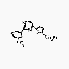 CCOC(=O)c1ccc(-c2ccnc(-c3cccc(C(F)(F)F)c3)n2)s1